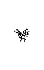 CCN(C#N)C(=O)C(Cc1ccc2ccccc2c1)NC(=O)NC1CCCCC1